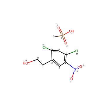 CS(=O)(=O)O.O=[N+]([O-])c1cc(CCO)c(Cl)cc1Cl